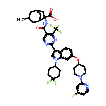 CC1CC2CC(C1)C(NC(=O)c1cnc(-c3cn(C4CCC(F)(F)CC4)c4cc(OC5CCN(c6cc(F)ccn6)CC5)ccc34)nc1C(F)(F)F)(C(=O)O)C2